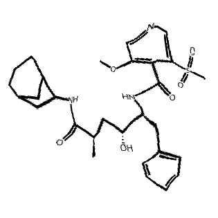 COc1cncc(S(C)(=O)=O)c1C(=O)N[C@@H](Cc1ccccc1)[C@H](O)C[C@@H](C)C(=O)NC1CC2CCC1C2